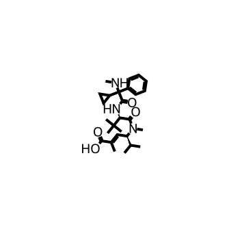 CNC(C(=O)N[C@H](C(=O)N(C)[C@H](/C=C(\C)C(=O)O)C(C)C)C(C)(C)C)(c1ccccc1)C1CC1